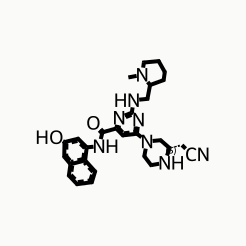 CN1CCCCC1CNc1nc(C(=O)Nc2cc(O)cc3ccccc23)cc(N2CCN[C@@H](CC#N)C2)n1